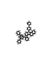 c1ccc(-c2ccc(-n3c4ccc5c(c6ccccc6n5-c5nc(-c6ccccc6)nc(-c6ccccc6)n5)c4c4ccc5ccccc5c43)cc2)cc1